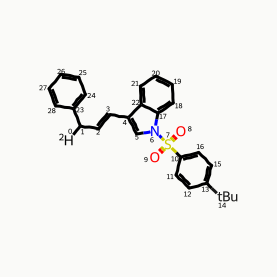 [2H]C(/C=C/c1cn(S(=O)(=O)c2ccc(C(C)(C)C)cc2)c2ccccc12)c1ccccc1